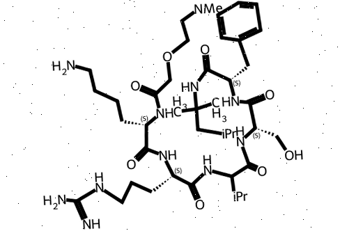 CNCCOCC(=O)N[C@@H](CCCCN)C(=O)N[C@@H](CCCNC(=N)N)C(=O)NC(C(=O)N[C@@H](CO)C(=O)N[C@@H](Cc1ccccc1)C(=O)NC(C)(C)CC(C)C)C(C)C